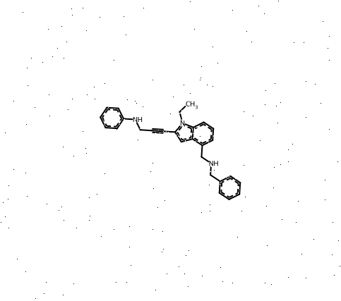 CCn1c(C#CCNc2ccccc2)cc2c(CNCc3ccccc3)cccc21